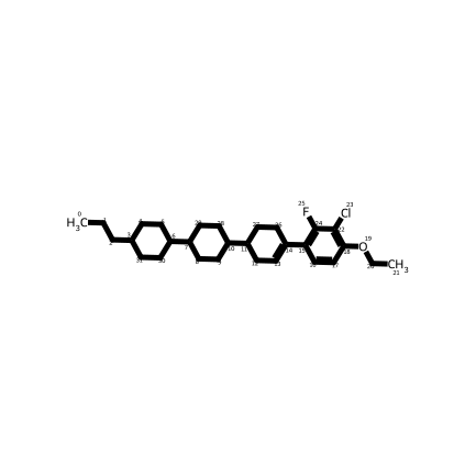 CCCC1CCC(C2CCC(C3CC=C(c4ccc(OCC)c(Cl)c4F)CC3)CC2)CC1